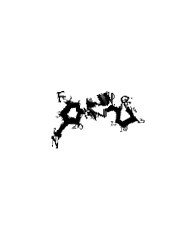 N#Cc1cc(F)cc(-n2nnc(-c3cccc[n+]3[O-])n2)c1